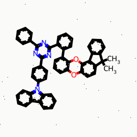 CC1(C)c2ccccc2-c2c1ccc1c2Oc2c(cccc2-c2ccccc2-c2nc(-c3ccccc3)nc(-c3ccc(-n4c5ccccc5c5ccccc54)cc3)n2)O1